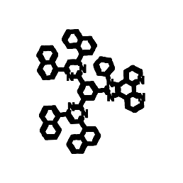 c1ccc(-n2c(-c3cc(-c4nc(-c5cccc6ccccc56)cc(-c5cccc6ccccc56)n4)cc(-c4nc(-c5cccc6ccccc56)cc(-c5cccc6ccccc56)n4)c3)nc3c4cccnc4c4ncccc4c32)cc1